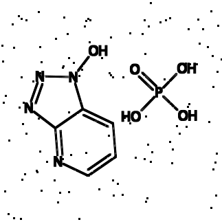 O=P(O)(O)O.On1nnc2ncccc21